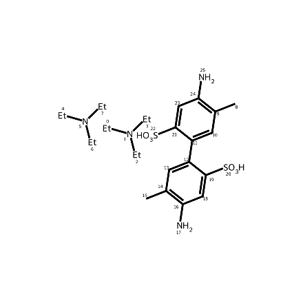 CCN(CC)CC.CCN(CC)CC.Cc1cc(-c2cc(C)c(N)cc2S(=O)(=O)O)c(S(=O)(=O)O)cc1N